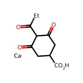 CCC(=O)C1C(=O)CC(C(=O)O)CC1=O.[Ca]